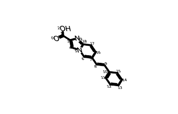 O=C(O)c1cn2cc(/C=C/c3ccccc3)ccc2n1